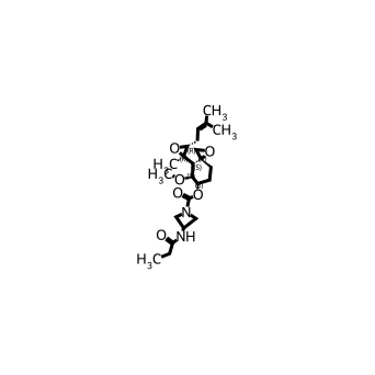 CCC(=O)NC1CN(C(=O)O[C@@H]2CC[C@]3(CO3)[C@@H]([C@@]3(C)O[C@@H]3CC=C(C)C)[C@@H]2OC)C1